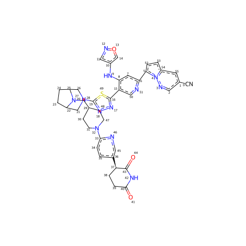 N#Cc1cnn2c(-c3cc(Nc4cnoc4)c(-c4nnc(N5CC6CCC(C5)N6CC5CCN(c6ccc([C@@H]7CCC(=O)NC7=O)cn6)CC5)s4)cn3)ccc2c1